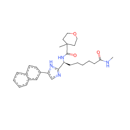 CNC(=O)CCCCC[C@H](NC(=O)C1(C)CCOCC1)c1ncc(-c2ccc3ccccc3c2)[nH]1